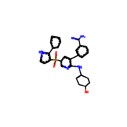 N=C(N)c1cccc(-c2cc(S(=O)(=O)c3cc[nH]c3-c3ccccc3)cnc2NC2CCC(O)CC2)c1